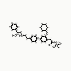 CS(=O)(=O)NC(=O)Cc1ccc(-c2ccc(CCNC[C@H](O)c3ccccc3)cc2)cc1OC1CCCCC1